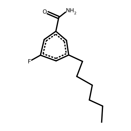 CCCCCCc1cc(F)cc(C(N)=O)c1